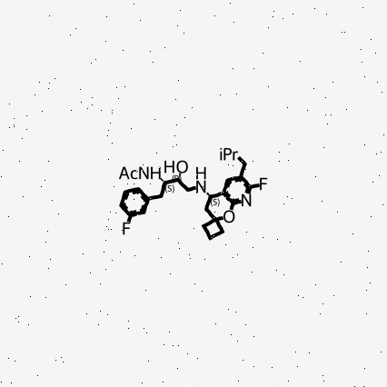 CC(=O)N[C@@H](Cc1cccc(F)c1)[C@H](O)CN[C@H]1CC2(CCC2)Oc2nc(F)c(CC(C)C)cc21